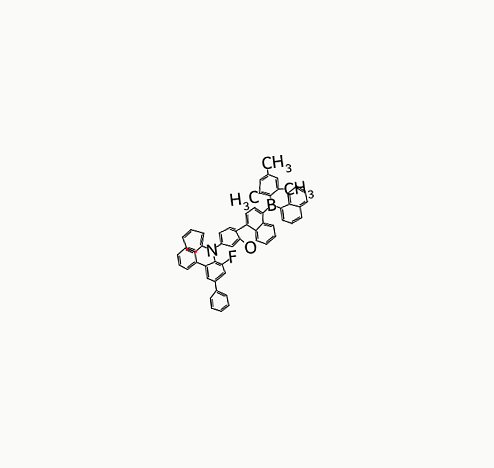 Cc1cc(C)c(B(c2cccc3ccccc23)c2ccc3c4c(cccc24)Oc2cc(N(c4ccccc4)c4c(F)cc(-c5ccccc5)cc4-c4ccccc4)ccc2-3)c(C)c1